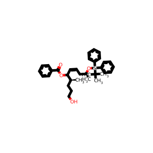 C[C@@H](C/C=C\C(OC(=O)c1ccccc1)[C@@H](C)CCCO)O[Si](c1ccccc1)(c1ccccc1)C(C)(C)C